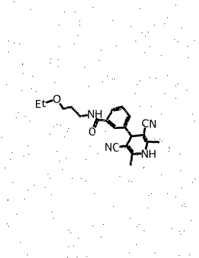 CCOCCCNC(=O)c1cccc(C2C(C#N)=C(C)NC(C)=C2C#N)c1